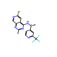 Cc1nc(N[C@@H](C)c2ccnc(C(F)(F)F)c2)c2cc(Br)ncc2n1